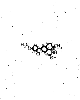 COc1ccc(-c2ccc3c(c2)CCC(C)(C)[C@@H]3NC(=O)O)c(Cl)c1